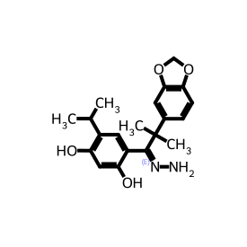 CC(C)c1cc(/C(=N/N)C(C)(C)c2ccc3c(c2)OCO3)c(O)cc1O